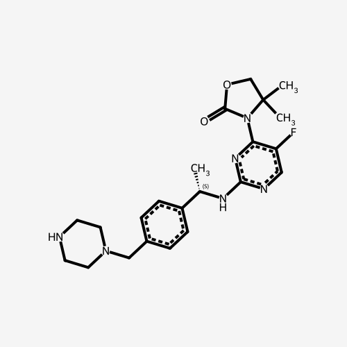 C[C@H](Nc1ncc(F)c(N2C(=O)OCC2(C)C)n1)c1ccc(CN2CCNCC2)cc1